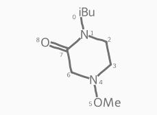 CCC(C)N1CCN(OC)CC1=O